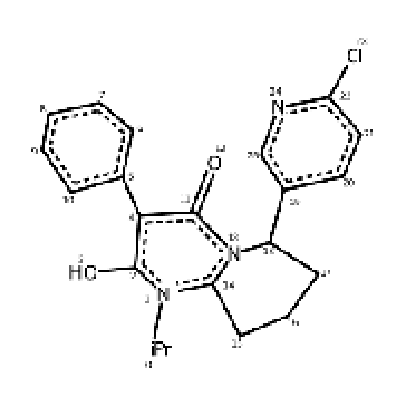 CC(C)[n+]1c(O)c(-c2ccccc2)c(=O)n2c1CCCC2c1ccc(Cl)nc1